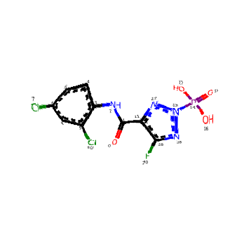 O=C(Nc1ccc(Cl)cc1Cl)c1nn(P(=O)(O)O)nc1F